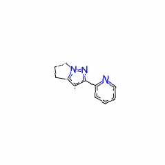 [c]1c(-c2ccccn2)nn2c1CCC2